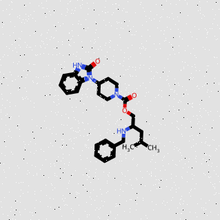 CC(C)CC(COC(=O)N1CCC(n2c(=O)[nH]c3ccccc32)CC1)NCc1ccccc1